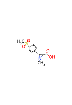 CN1C(C(=O)O)C1c1ccc(S(C)(=O)=O)cc1